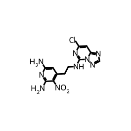 Nc1cc(CCNc2nc(Cl)cc3ncnn23)c([N+](=O)[O-])c(N)n1